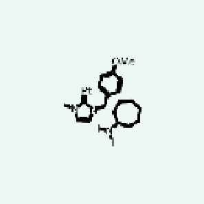 COc1ccc(Cn2ccn(C)[c]2=[Pt])cc1.IN(I)C1CCCCCC1